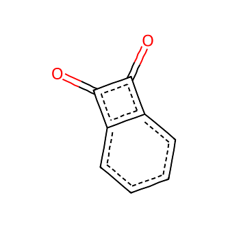 O=c1c(=O)c2ccccc12